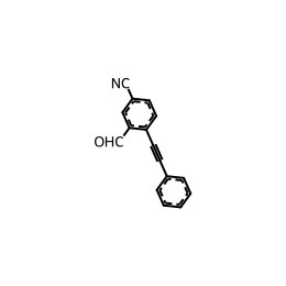 N#Cc1ccc(C#Cc2ccccc2)c(C=O)c1